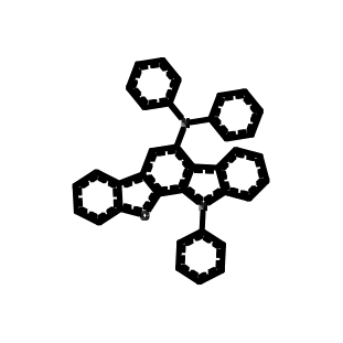 c1ccc(N(c2ccccc2)c2cc3c4ccccc4oc3c3c2c2ccccc2n3-c2ccccc2)cc1